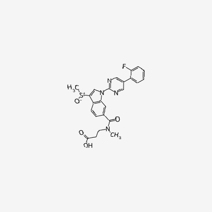 CN(CCC(=O)O)C(=O)c1ccc2c([S+](C)[O-])cn(-c3ncc(-c4ccccc4F)cn3)c2c1